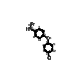 CC(C)Nc1ccc(Oc2ccc(Cl)cc2)cc1